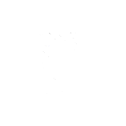 CC[C@@H](C)[C@H](NC(=O)OCc1ccccc1)C(=O)N[C@@H](/C=N/N(C)C(C)(C)CC(C)(C)C(=O)NC(C)CC(C)C)CC(C)C